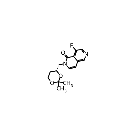 CC1(C)OCC[C@H](Cn2ccc3cncc(F)c3c2=O)O1